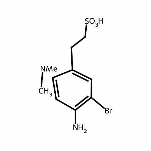 CNC.Nc1ccc(CCS(=O)(=O)O)cc1Br